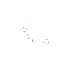 Cc1nc(CNc2ncccn2)sc1-c1csc(-c2cc(F)c3[nH]nnc3c2)n1